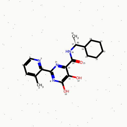 Cc1cccnc1-c1nc(O)c(O)c(C(=O)N[C@H](C)C2CCCCC2)n1